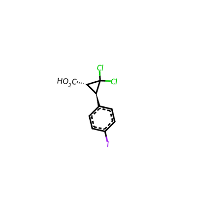 O=C(O)[C@H]1[C@H](c2ccc(I)cc2)C1(Cl)Cl